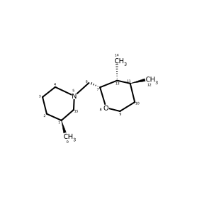 C[C@H]1CCCN(C[C@H]2OCC[C@H](C)[C@H]2C)C1